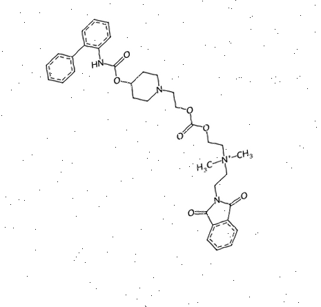 C[N+](C)(CCOC(=O)OCCN1CCC(OC(=O)Nc2ccccc2-c2ccccc2)CC1)CCN1C(=O)c2ccccc2C1=O